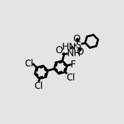 O=C(NNS(=O)(=O)C1CCCCC1)c1cc(-c2cc(Cl)cc(Cl)c2)cc(Cl)c1F